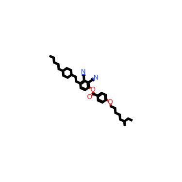 CCCCCC1CCC(CCc2ccc(OC(=O)c3ccc(OCCCCCC(C)CC)cc3)c(C#N)c2C#N)CC1